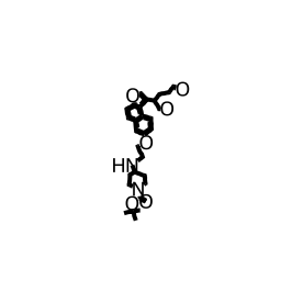 CC(C)(C)OC(=O)N1CCC(NCCOc2ccc3c(ccc4occ(C(C=O)CCC=O)c43)c2)CC1